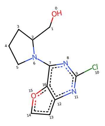 OCC1CCCN1c1nc(Cl)nc2ccoc12